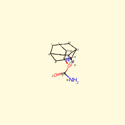 NC(=O)O[C@]12CC3CC(C1)[C@@H](N)C(C3)C2